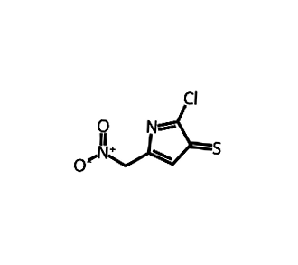 O=[N+]([O-])CC1=CC(=S)C(Cl)=N1